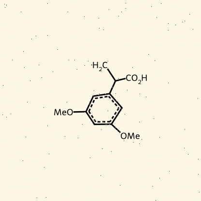 [CH2]C(C(=O)O)c1cc(OC)cc(OC)c1